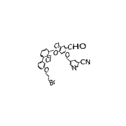 CC1(Cl)C(c2cccc(OCCCBr)c2)=CC=CC1COc1cc(OCc2cncc(C#N)c2)c(C=O)cc1Cl